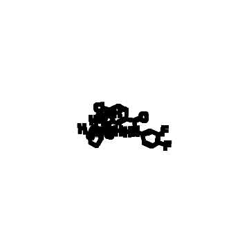 O=C(Nc1ccc(F)c(F)c1)c1ccc(Cl)c(S(=O)(=O)[C@H]2C3CC[C@H]2C[C@]3(O)CO)c1